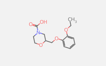 CCOc1ccccc1OCC1CN(C(=O)O)CCO1